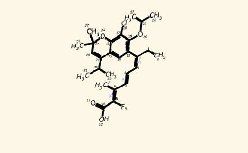 CC/C(=C/C=C/C(C)=C(\F)C(=O)O)c1cc2c(c(Cl)c1OC(C)C)OC(C)(C)C=C2C(C)C